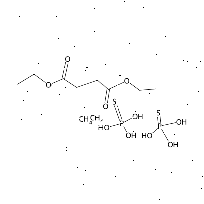 C.C.CCOC(=O)CCC(=O)OCC.OP(O)(O)=S.OP(O)(O)=S